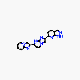 c1ccn2cc(-c3ccn4cc(-c5ccc6cn[nH]c6n5)nc4n3)nc2c1